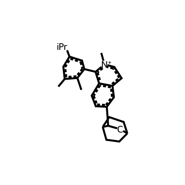 Cc1cc(C(C)C)cc(-c2c3ccc(C4CC5CCC4CC5)cc3cc[n+]2C)c1C